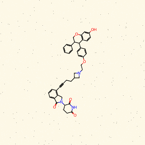 O=C1CCC(N2Cc3c(C#CCCC4CN(CCOc5ccc(C6c7ccc(O)cc7OCC6c6ccccc6)cc5)C4)cccc3C2=O)C(=O)N1